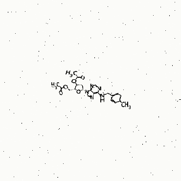 CC(=O)OC[C@H]1O[C@@H](n2cnc3c(NCc4ccc(C)cc4)ncnc32)CC1OC(C)=O